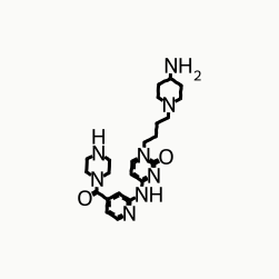 NC1CCN(CCCCn2ccc(Nc3cc(C(=O)N4CCNCC4)ccn3)nc2=O)CC1